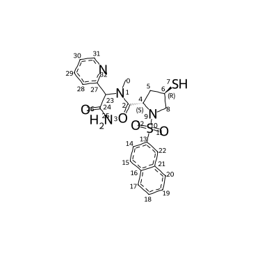 CN(C(=O)[C@@H]1C[C@@H](S)CN1S(=O)(=O)c1ccc2ccccc2c1)C(C(N)=O)c1ccccn1